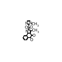 Cc1c2c(nn1S(=O)(=O)c1nccn1C)-c1ccccc1C(=O)C2=O